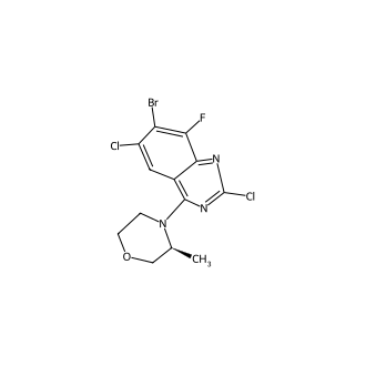 C[C@H]1COCCN1c1nc(Cl)nc2c(F)c(Br)c(Cl)cc12